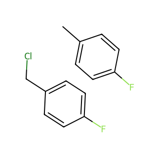 Cc1ccc(F)cc1.Fc1ccc(CCl)cc1